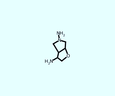 NC1COC2CN(N)CC12